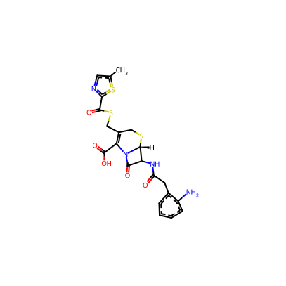 Cc1cnc(C(=O)SCC2=C(C(=O)O)N3C(=O)C(NC(=O)Cc4ccccc4N)[C@H]3SC2)s1